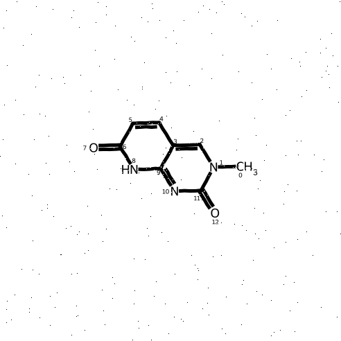 Cn1cc2ccc(=O)[nH]c2nc1=O